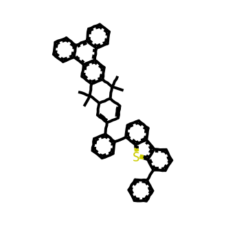 CC1(C)c2cc3c4ccccc4c4ccccc4c3cc2C(C)(C)C2C=C(c3ccccc3-c3cccc4c3sc3c(-c5ccccc5)cccc34)C=CC21